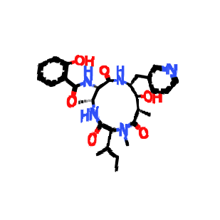 CCC(C)C1C(=O)N[C@H](C)[C@H](NC(=O)c2ccccc2O)C(=O)N[C@@H](Cc2cccnc2)[C@@H](O)[C@@H](C)C(=O)N1C